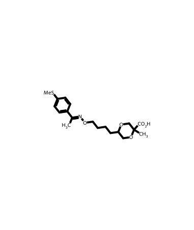 CSc1ccc(C(C)=NOCCCCC2COC(C)(C(=O)O)CO2)cc1